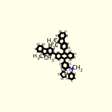 CN1c2ccccc2[Si]2(CCCC2)c2ccc(-c3c4ccccc4c(-c4ccc5c(c4)C(C)(C)c4ccccc4-5)c4cc(-c5ccc6c(c5)C(C)(C)c5ccccc5-6)ccc34)cc21